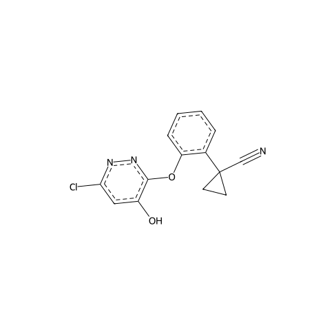 N#CC1(c2ccccc2Oc2nnc(Cl)cc2O)CC1